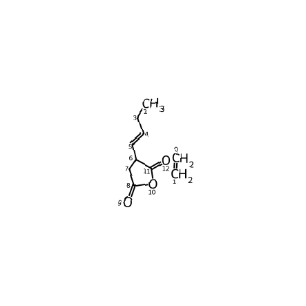 C=C.CCC=CC1CC(=O)OC1=O